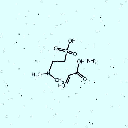 C=CC(=O)O.CN(C)CCS(=O)(=O)O.N